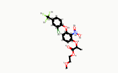 COCCOC(=O)C(C)Oc1cccc(Oc2ccc(C(F)(F)F)cc2Cl)c1[N+](=O)[O-]